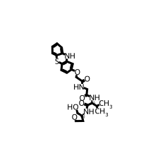 CC(C)[C@H](NC(=O)CNC(=O)COc1ccc2c(c1)Nc1ccccc1S2)C(=O)N[C@H]1CCOC1O